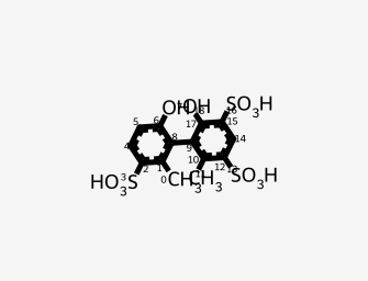 Cc1c(S(=O)(=O)O)ccc(O)c1-c1c(C)c(S(=O)(=O)O)cc(S(=O)(=O)O)c1O